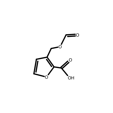 O=COCc1ccoc1C(=O)O